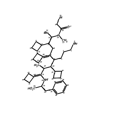 CCC(C)CCCC(C(CC(C1CCC1)C(C(C)CC)N(C)C(=O)CC(C)C)=C1CCC1)C(C1CCC1)C(C)C(NC(Cc1ccccc1)C(=O)O)=C1CCC1